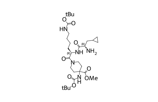 COC(=O)C1(NC(=O)OC(C)(C)C)CCN(C(=O)[C@@H](CCCCNC(=O)OC(C)(C)C)NC(=O)[C@H](N)CC2CC2)CC1